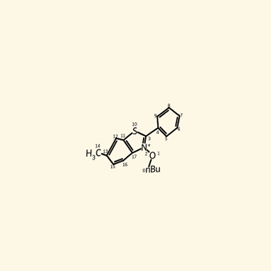 CCCCO[n+]1c(-c2ccccc2)sc2cc(C)ccc21